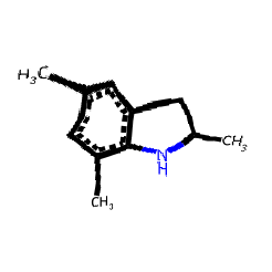 Cc1cc(C)c2c(c1)CC(C)N2